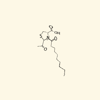 CCCCCCCCCC(=O)N1C(C(=O)O)CSC1C(C)=O